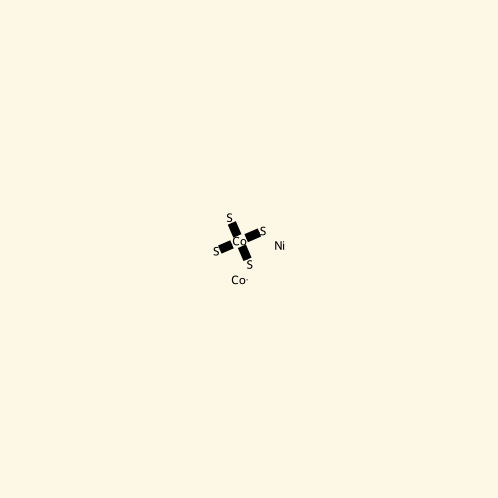 [Co].[Ni].[S]=[Co](=[S])(=[S])=[S]